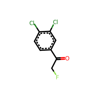 O=C(CF)c1ccc(Cl)c(Cl)c1